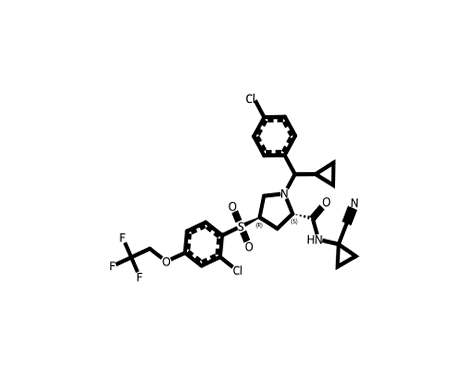 N#CC1(NC(=O)[C@@H]2C[C@@H](S(=O)(=O)c3ccc(OCC(F)(F)F)cc3Cl)CN2C(c2ccc(Cl)cc2)C2CC2)CC1